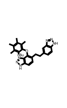 CCCCc1c(C)c(C)c(C)c(C)c1Oc1c(CCc2[c]c3nn[nH]c3cc2)ccc2[nH]nnc12